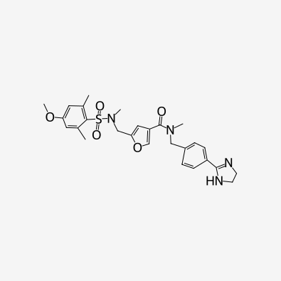 COc1cc(C)c(S(=O)(=O)N(C)Cc2cc(C(=O)N(C)Cc3ccc(C4=NCCN4)cc3)co2)c(C)c1